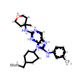 CNCC1CCC(n2c(Nc3cccc(C(F)(F)F)c3)nc3cnc(NC4(C)CCOCC4)nc32)CC1